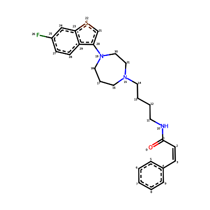 O=C(/C=C\c1ccccc1)NCCCCN1CCCN(c2csc3cc(F)ccc23)CC1